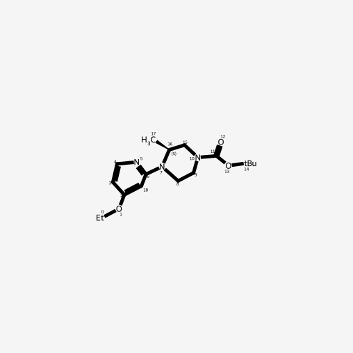 CCOc1ccnc(N2CCN(C(=O)OC(C)(C)C)C[C@@H]2C)c1